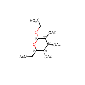 CC(=O)OC[C@H]1O[C@H](OCC(=O)O)[C@@H](OC(C)=O)[C@@H](OC(C)=O)[C@@H]1OC(C)=O